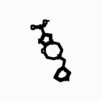 O=[N+]([O-])c1cn2c(n1)OCCN(Cc1cccnc1)CC2